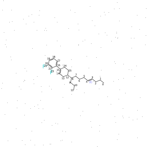 CCC/C=C/CCCC(CCC)C1CC=C(c2cccc(F)c2F)CC1